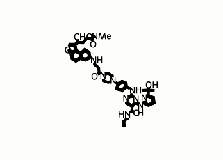 C=CCNC(=O)c1cnc(Nc2ccc(N3CCN(C(=O)CCNc4ccc5c(ccc6occ(C(C=O)CCC(=O)NC)c65)c4)CC3)cc2)nc1Nc1cccc(C(C)(C)O)n1